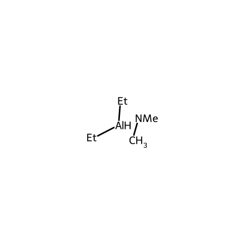 CNC.C[CH2][AlH][CH2]C